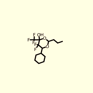 CCCC1OC(C2CCCCC2)C(F)(F)C(O)(C(F)(F)F)O1